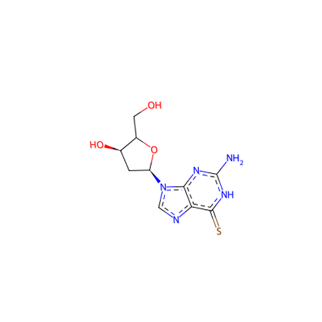 Nc1nc2c(ncn2[C@H]2C[C@@H](O)C(CO)O2)c(=S)[nH]1